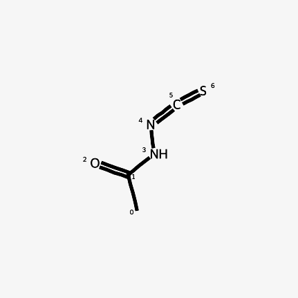 CC(=O)NN=C=S